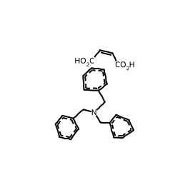 O=C(O)/C=C\C(=O)O.c1ccc(CN(Cc2ccccc2)Cc2ccccc2)cc1